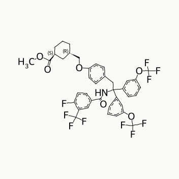 COC(=O)[C@H]1CCC[C@@H](COc2ccc(CC(NC(=O)c3ccc(F)c(C(F)(F)F)c3)(c3cccc(OC(F)(F)F)c3)c3cccc(OC(F)(F)F)c3)cc2)C1